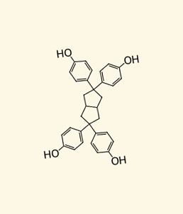 Oc1ccc(C2(c3ccc(O)cc3)CC3CC(c4ccc(O)cc4)(c4ccc(O)cc4)CC3C2)cc1